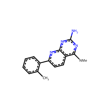 CNc1nc(N)nc2nc(-c3ccccc3C)ccc12